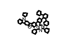 c1ccc(-c2nc(-c3ccccc3)nc(-c3cc(-c4c(-c5ccccc5)cccc4-c4ccccc4)ccc3-c3ccc4oc5cc6c7ccccc7n(-c7ccccc7)c6cc5c4c3)n2)cc1